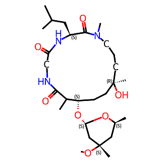 CO[C@]1(C)C[C@H](O[C@H]2CC[C@](C)(O)CCCN(C)C(=O)[C@H](CC(C)C)NC(=O)CNC(=O)C2C)O[C@@H](C)C1